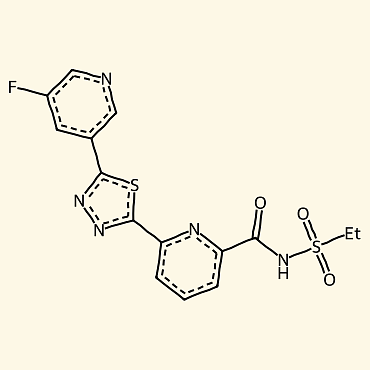 CCS(=O)(=O)NC(=O)c1cccc(-c2nnc(-c3cncc(F)c3)s2)n1